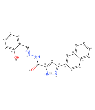 O=C(N/N=C/c1ccccc1O)c1cc(-c2ccc3ccccc3c2)n[nH]1